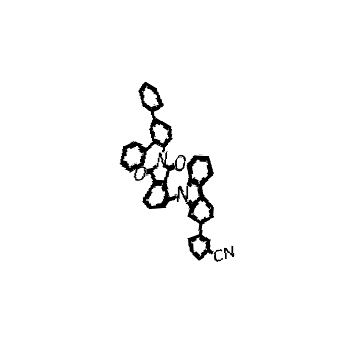 N#Cc1cccc(-c2ccc3c4ccccc4n(-c4cccc5c4C(=O)N(c4ccc(-c6ccccc6)cc4-c4ccccc4)C5=O)c3c2)c1